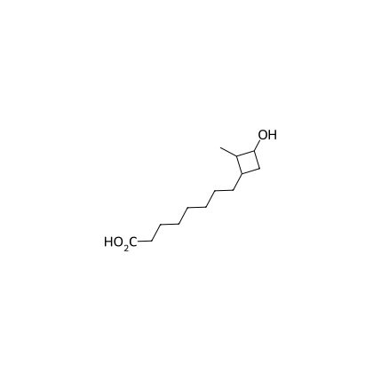 CC1C(O)CC1CCCCCCCC(=O)O